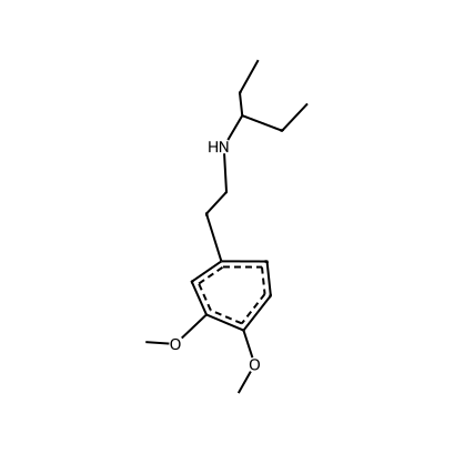 CCC(CC)NCCc1ccc(OC)c(OC)c1